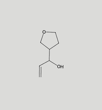 C=CC(O)C1CCOC1